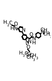 C=CC(=O)Nc1ccnc(-c2ccc3c(c2)c(C(=O)NC2CCC(N(C)C)CC2)nn3COCC[Si](C)(C)C)c1